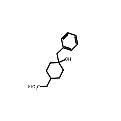 CCOC(=O)CC1CCC(O)(Cc2ccccc2)CC1